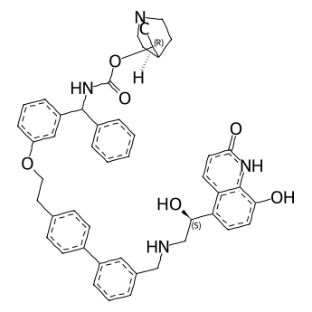 O=C(NC(c1ccccc1)c1cccc(OCCc2ccc(-c3cccc(CNC[C@@H](O)c4ccc(O)c5[nH]c(=O)ccc45)c3)cc2)c1)O[C@H]1CN2CCC1CC2